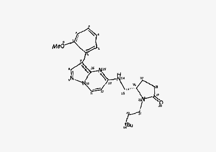 COc1ccccc1-c1cnn2ccc(NC[C@@H]3CCC(=O)N3CCC(C)(C)C)nc12